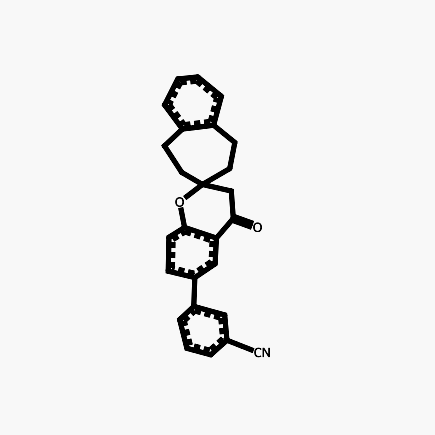 N#Cc1cccc(-c2ccc3c(c2)C(=O)CC2(CCc4ccccc4CC2)O3)c1